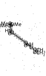 C=C(C)C(=O)OCCOCCNC(=O)OCCCCCCCCCCCOC(=O)NCCC[Si](OC)(OC)OC